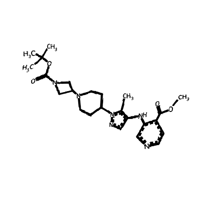 COC(=O)c1ccncc1Nc1cnn(C2CCN(C3CN(C(=O)OC(C)(C)C)C3)CC2)c1C